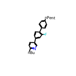 CCCCCc1ccc(-c2ccc(-c3ccc(CCCC)nc3)cc2F)cc1